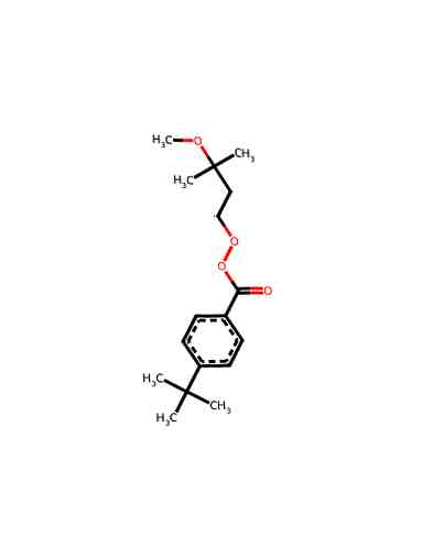 COC(C)(C)C[CH]OOC(=O)c1ccc(C(C)(C)C)cc1